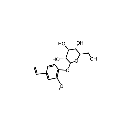 C=Cc1ccc(OC2O[C@H](CO)[C@@H](O)[C@H](O)[C@H]2O)c(OC)c1